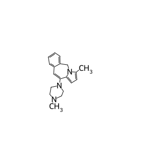 Cc1ccc2n1Cc1ccccc1C=C2N1CCN(C)CC1